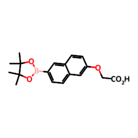 CC1(C)OB(c2ccc3cc(OCC(=O)O)ccc3c2)OC1(C)C